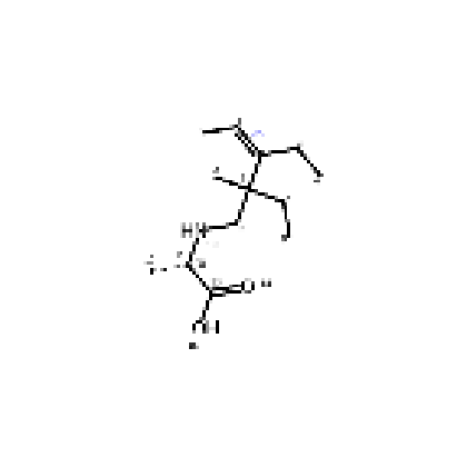 C/C=C(/CC)C(C)(CC)CN[C@@H](C)C(=O)O